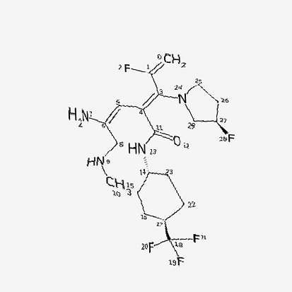 C=C(F)/C(=C(\C=C(\N)CNC)C(=O)N[C@H]1CC[C@H](C(F)(F)F)CC1)N1CC[C@@H](F)C1